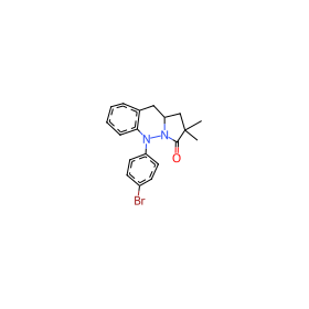 CC1(C)CC2Cc3ccccc3N(c3ccc(Br)cc3)N2C1=O